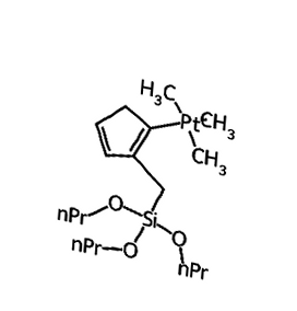 CCCO[Si](CC1=[C]([Pt]([CH3])([CH3])[CH3])CC=C1)(OCCC)OCCC